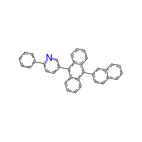 c1ccc(-c2ccc(-c3c4ccccc4c(-c4ccc5ccccc5c4)c4ccccc34)cn2)cc1